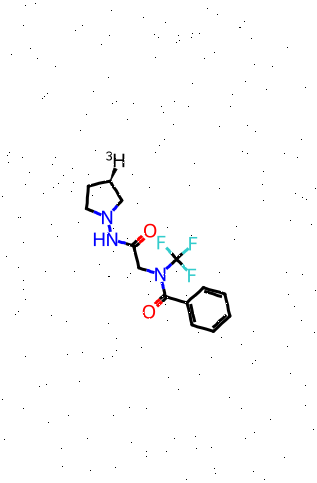 [3H][C@@H]1CCN(NC(=O)CN(C(=O)c2ccccc2)C(F)(F)F)C1